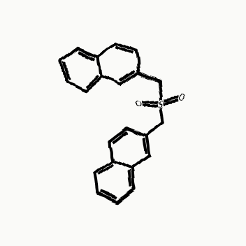 O=S(=O)(Cc1ccc2ccccc2c1)Cc1ccc2ccccc2c1